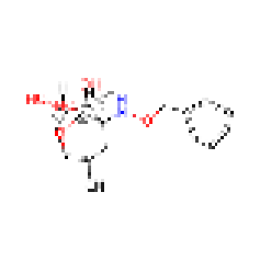 N#CC1=C2C[C@H](O)[C@@H](O)C(NOCc3ccccc3)(C1)[C@H](O)O2